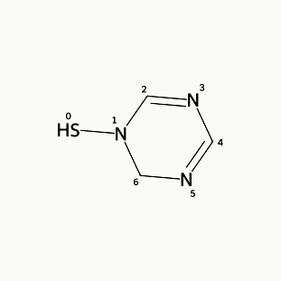 SN1C=NC=NC1